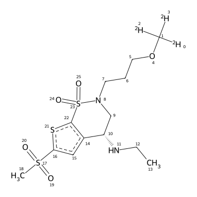 [2H]C([2H])([2H])OCCCN1C[C@H](NCC)c2cc(S(C)(=O)=O)sc2S1(=O)=O